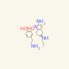 CCCN[C@H]1CCc2nc(N)sc2C1.NCCc1ccc(O)c(O)c1